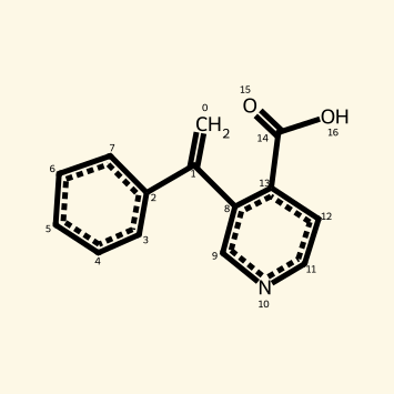 C=C(c1ccccc1)c1cnccc1C(=O)O